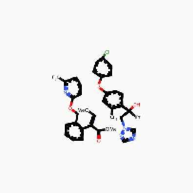 CC(C)C(O)(Cn1cncn1)c1ccc(Oc2ccc(Cl)cc2)cc1C(F)(F)F.CO/C=C(/C(=O)OC)c1ccccc1COc1cccc(C(F)(F)F)n1